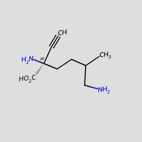 C#C[C@](N)(CCC(C)CN)C(=O)O